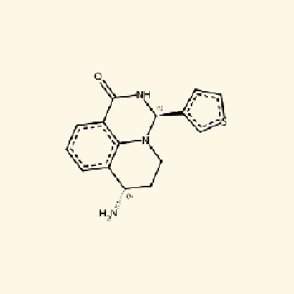 N[C@H]1CCN2c3c(cccc31)C(=O)N[C@H]2c1ccsc1